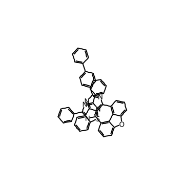 c1ccc(-c2ccc(-c3nc(-c4cccc5oc6cccc(-c7nc(-c8ccccc8)nc(-c8ccccc8)n7)c6c45)c4sc5ccccc5c4n3)cc2)cc1